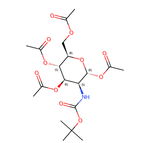 CC(=O)OC[C@H]1O[C@H](OC(C)=O)[C@@H](NC(=O)OC(C)(C)C)[C@@H](OC(C)=O)[C@@H]1OC(C)=O